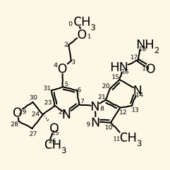 COCCOc1cc(-n2nc(C)c3cnc(NC(N)=O)cc32)nc([C@@]2(OC)CCOC2)c1